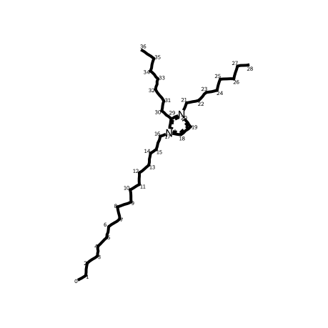 CCCCCCCCCCCCCCCCC[n+]1ccn(CCCCCCCC)c1CCCCCCC